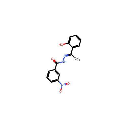 C/C(=N\NC(=O)c1cccc([N+](=O)[O-])c1)c1ccccc1O